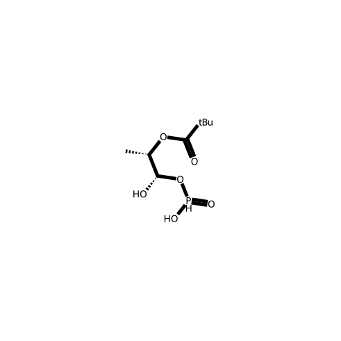 C[C@H](OC(=O)C(C)(C)C)[C@@H](O)O[PH](=O)O